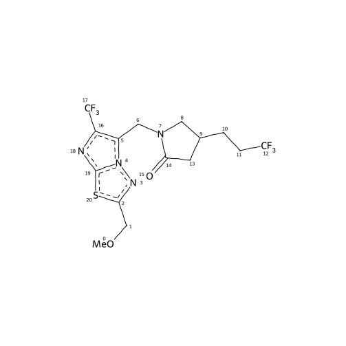 COCc1nn2c(CN3CC(CCC(F)(F)F)CC3=O)c(C(F)(F)F)nc2s1